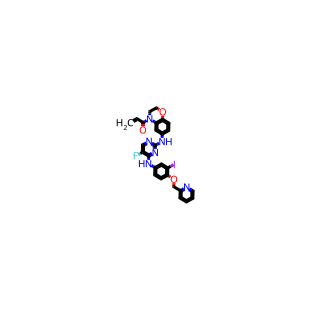 C=CC(=O)N1CCOc2ccc(Nc3ncc(F)c(Nc4ccc(OCc5ccccn5)c(I)c4)n3)cc21